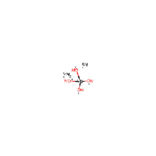 [KH].[OH][Ti]([OH])([OH])[OH].[SrH2]